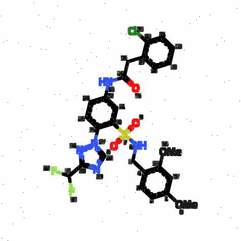 COc1ccc(CNS(=O)(=O)c2cc(NC(=O)Cc3ccccc3Cl)ccc2-n2cnc(C(F)F)n2)c(OC)c1